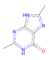 Cc1nc2[nH]c(C)nc2c(=O)[nH]1